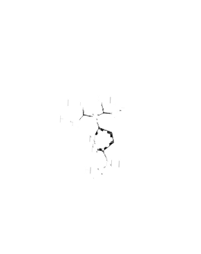 CCOC(C)N(c1ccc(NN)nn1)C(C)OCC